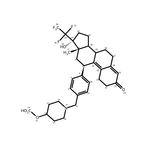 C[C@]12C[C@H](c3ccc(CN4CCC(OC(=O)O)CC4)cc3)C3=C4CCC(=O)C=C4CCC3C1CC[C@]2(O)C(F)(F)C(F)(F)F